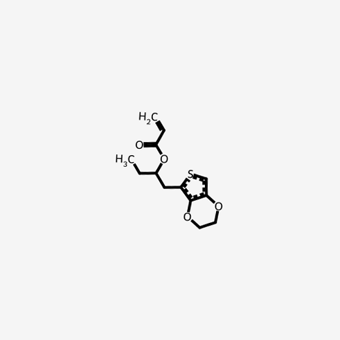 C=CC(=O)OC(CC)Cc1scc2c1OCCO2